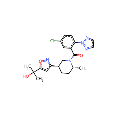 C[C@@H]1CC[C@@H](c2cc(C(C)(C)O)on2)CN1C(=O)c1cc(Cl)ccc1-n1nccn1